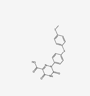 CSc1ccc(Sc2ccc(-n3nc(C(=O)O)c(=O)[nH]c3=O)cc2)cc1